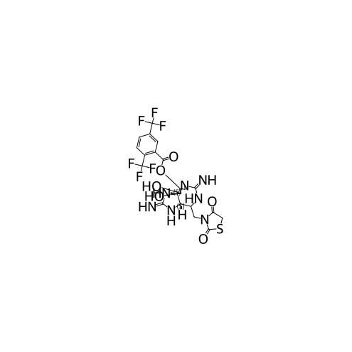 N=C1N[C@H]2C(CN3C(=O)CSC3=O)NC(=N)N3CC(OC(=O)c4cc(C(F)(F)F)ccc4C(F)(F)F)C(O)(O)[C@]23N1